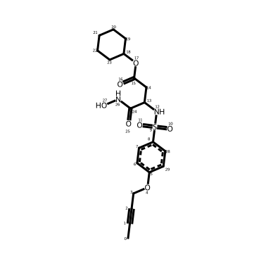 CC#CCOc1ccc(S(=O)(=O)NC(CC(=O)OC2CCCCC2)C(=O)NO)cc1